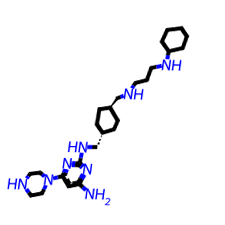 Nc1cc(N2CCNCC2)nc(NC[C@H]2CC[C@H](CNCCCNC3CCCCC3)CC2)n1